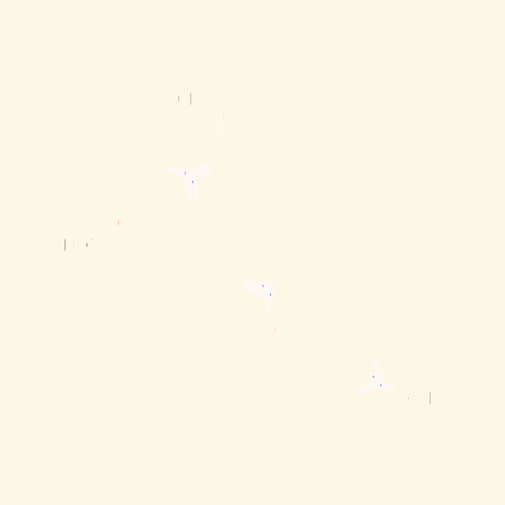 COc1cccc(C)c1-n1cc(/C(=N/OC2CCN(C)CC2)c2ccc(F)cc2F)ccc1=O